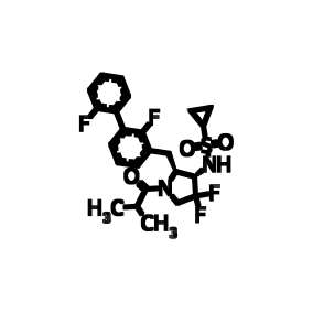 CC(C)C(=O)N1CC(F)(F)[C@H](NS(=O)(=O)C2CC2)[C@@H]1Cc1cccc(-c2ccccc2F)c1F